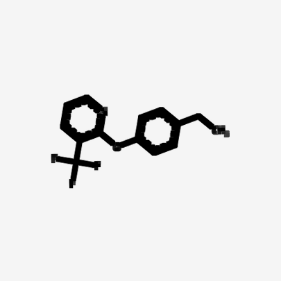 CCc1ccc(Oc2ncccc2C(F)(F)F)cc1